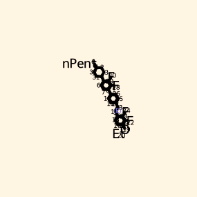 CCCCCC1CCC(c2ccc(-c3ccc(/C=C/c4ccc(OCC)c(F)c4F)cc3)c(F)c2F)CC1